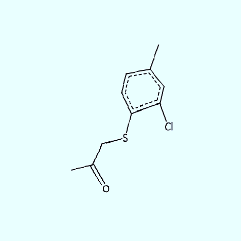 CC(=O)CSc1ccc(C)cc1Cl